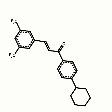 O=C(C=Cc1cc(C(F)(F)F)cc(C(F)(F)F)c1)c1ccc(C2CCCCC2)cc1